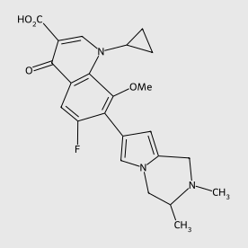 COc1c(-c2cc3n(c2)CC(C)N(C)C3)c(F)cc2c(=O)c(C(=O)O)cn(C3CC3)c12